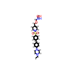 CCN1CCN(c2ccc(-c3ccc(S(=O)(=O)N4CC=C(COCNO)CC4)cc3)cc2)CC1